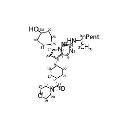 CCCCCC(C)Nc1ncc2c([C@H]3CC[C@@H](C(=O)N4CCOCC4)CC3)cc([C@H]3CC[C@H](O)CC3)n2n1